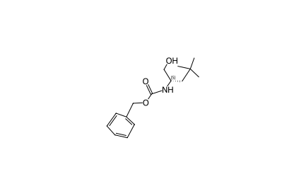 CC(C)(C)C[C@@H](CO)NC(=O)OCc1ccccc1